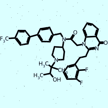 CC(O)C(C)(C)N1CCC(N(Cc2ccc(-c3ccc(C(F)(F)F)cc3)cc2)C(=O)Cn2c(CCc3cccc(F)c3F)nc(=O)c3ccccc32)CC1